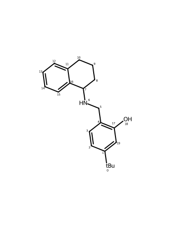 CC(C)(C)c1ccc(CNC2CCCc3ccccc32)c(O)c1